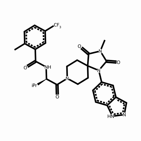 Cc1ccc(C(F)(F)F)cc1C(=O)N[C@@H](C(=O)N1CCC2(CC1)C(=O)N(C)C(=O)N2c1ccc2[nH]ncc2c1)C(C)C